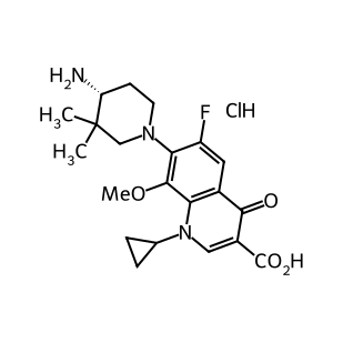 COc1c(N2CC[C@@H](N)C(C)(C)C2)c(F)cc2c(=O)c(C(=O)O)cn(C3CC3)c12.Cl